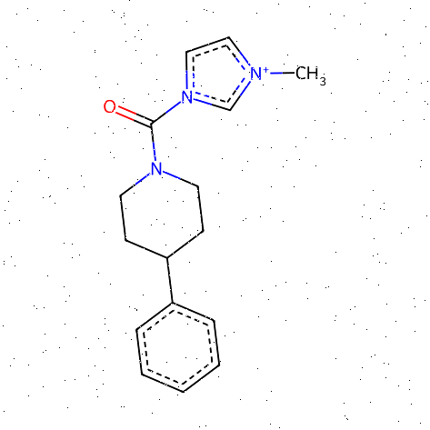 C[n+]1ccn(C(=O)N2CCC(c3ccccc3)CC2)c1